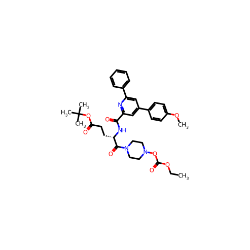 CCOC(=O)ON1CCN(C(=O)[C@H](CCC(=O)OC(C)(C)C)NC(=O)c2cc(-c3ccc(OC)cc3)cc(-c3ccccc3)n2)CC1